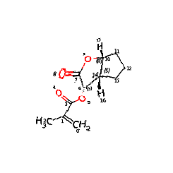 C=C(C)C(=O)O[C@@H]1C(=O)O[C@@H]2CCC[C@H]12